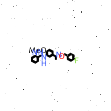 COc1ccc(C(C)=NOCc2ccc(F)cc2)cc1Nc1ncnc2ccccc12